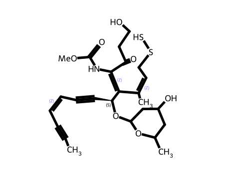 CC#C/C=C\C#C[C@H](OC1CC(O)CC(C)O1)C(/C(C)=C\CSS)=C(\NC(=O)OC)C(=O)CCO